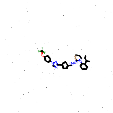 CCC(C)c1ccccc1N1CCCS/C1=N\N=C\c1ccc(-c2ncn(-c3ccc(OC(F)(F)F)cc3)n2)cc1